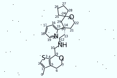 Cc1csc2c1CCOC2CNCC[C@@]1(c2ccccn2)CCOC2(CCCC2)C1